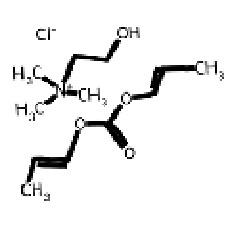 CC=COC(=O)OC=CC.C[N+](C)(C)CCO.[Cl-]